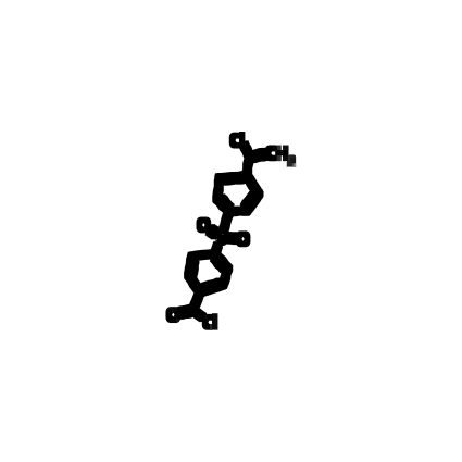 C=C(Cl)c1ccc(S(=O)(=O)c2ccc(C(=O)Cl)cc2)cc1